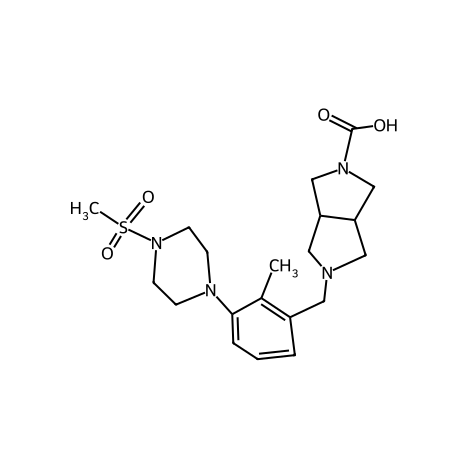 Cc1c(CN2CC3CN(C(=O)O)CC3C2)cccc1N1CCN(S(C)(=O)=O)CC1